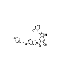 O=C1CCCCN1Cc1n[nH]c2cc(O)c(C(=O)N3Cc4ccc(OCCN5CCNCC5)cc4C3)cc12